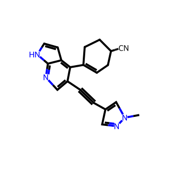 Cn1cc(C#Cc2cnc3[nH]ccc3c2C2=CCC(C#N)CC2)cn1